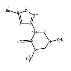 CN1CN(C)C(=O)N(c2cc(C(C)(C)C)on2)C1